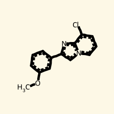 COc1cccc(-c2cn3cccc(Cl)c3n2)c1